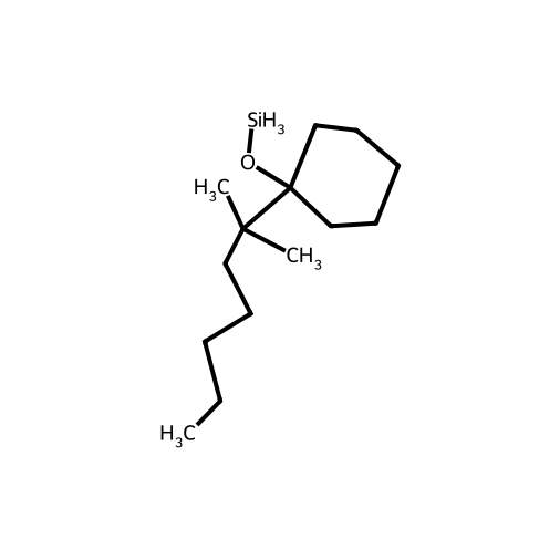 CCCCCC(C)(C)C1(O[SiH3])CCCCC1